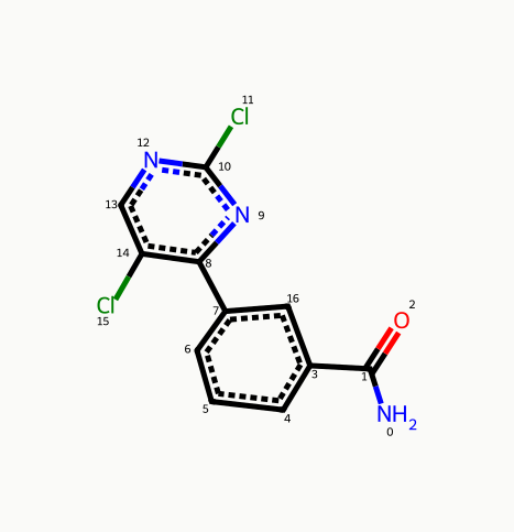 NC(=O)c1cccc(-c2nc(Cl)ncc2Cl)c1